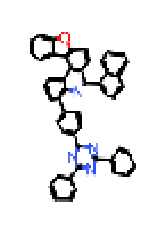 c1ccc(-c2nc(-c3ccccc3)nc(-c3ccc(-c4cccc5c4nc(-c4cccc6ccccc46)c4ccc6oc7ccccc7c6c45)cc3)n2)cc1